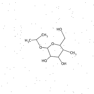 CC(C)OC1OC(CO)C(C)C(O)C1O